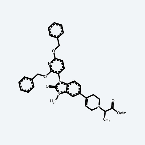 COC(=O)C(C)N1CC=C(c2ccc3c(c2)n(C)c(=O)n3-c2ccc(OCc3ccccc3)nc2OCc2ccccc2)CC1